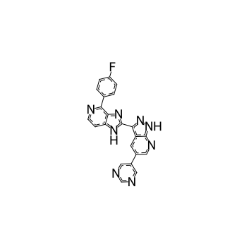 Fc1ccc(-c2nccc3[nH]c(-c4n[nH]c5ncc(-c6cncnc6)cc45)nc23)cc1